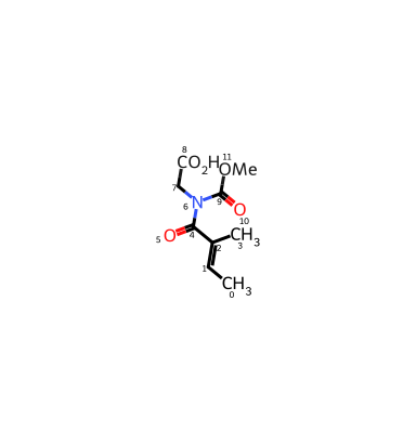 C/C=C(\C)C(=O)N(CC(=O)O)C(=O)OC